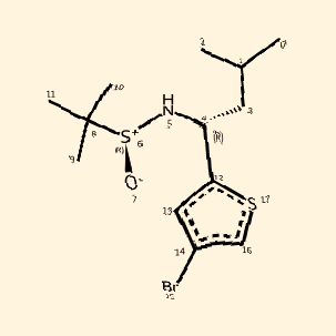 CC(C)C[C@@H](N[S@@+]([O-])C(C)(C)C)c1cc(Br)cs1